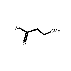 [CH2]C(=O)C[CH]SC